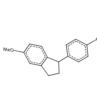 COc1ccc2c(c1)CCC2c1ccc(C(C)=O)cc1